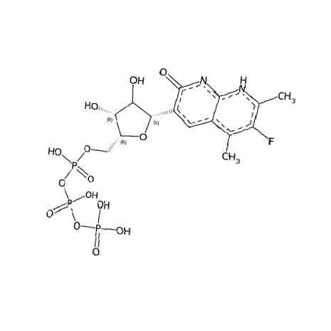 Cc1[nH]c2nc(=O)c([C@@H]3O[C@H](COP(=O)(O)OP(=O)(O)OP(=O)(O)O)[C@H](O)C3O)cc-2c(C)c1F